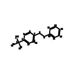 FC(F)(F)c1ccc(CCc2ccccc2)nc1